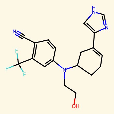 N#Cc1ccc(N(CCO)C2CCC=C(c3c[nH]cn3)C2)cc1C(F)(F)F